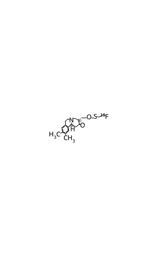 Cc1cc2c(cc1C)[C@@H]1CC(=O)[C@@H](CCOCSCC[18F])CN1CC2